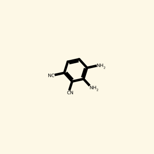 N#Cc1ccc(N)c(N)c1C#N